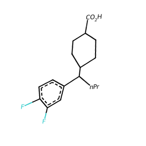 CCCC(c1ccc(F)c(F)c1)C1CCC(C(=O)O)CC1